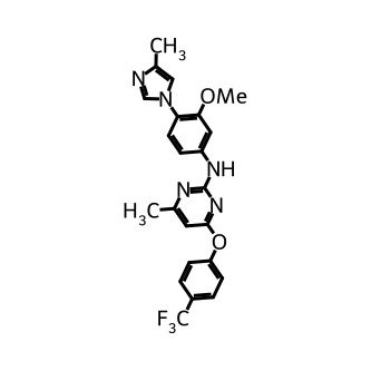 COc1cc(Nc2nc(C)cc(Oc3ccc(C(F)(F)F)cc3)n2)ccc1-n1cnc(C)c1